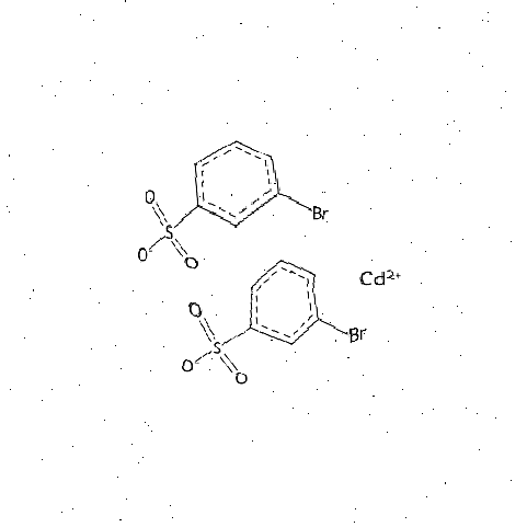 O=S(=O)([O-])c1cccc(Br)c1.O=S(=O)([O-])c1cccc(Br)c1.[Cd+2]